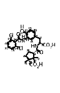 CC1(C)[C@@H](C(=O)N[C@@H](Cc2ccc(O)c(NC(=O)c3c(Cl)cccc3Cl)c2)C(=O)O)CC[C@@]1(C)C(=O)O